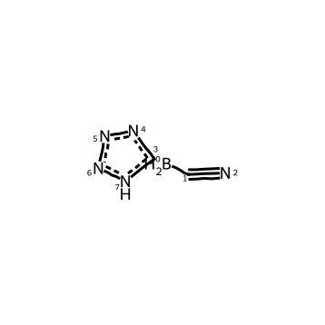 BC#N.c1nnn[nH]1